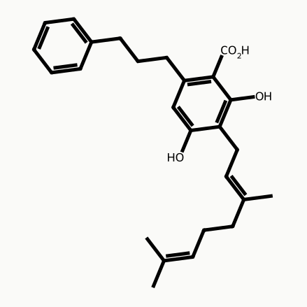 CC(C)=CCC/C(C)=C/Cc1c(O)cc(CCCc2ccccc2)c(C(=O)O)c1O